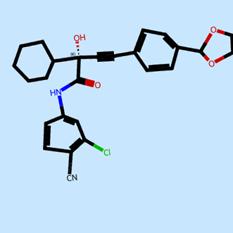 N#Cc1ccc(NC(=O)[C@](O)(C#Cc2ccc(C3OCCO3)cc2)C2CCCCC2)cc1Cl